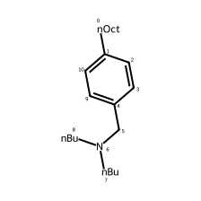 CCCCCCCCc1ccc(CN(CCCC)CCCC)cc1